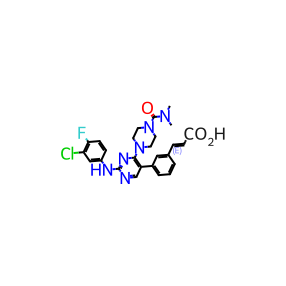 CN(C)C(=O)N1CCN(c2nc(Nc3ccc(F)c(Cl)c3)ncc2-c2cccc(/C=C/C(=O)O)c2)CC1